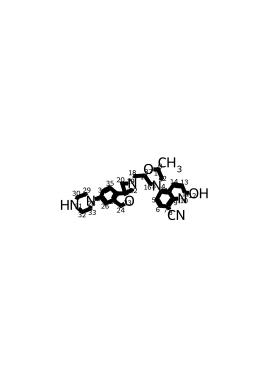 CC1CN(c2ccc(C#N)c3nc(O)ccc23)CC(CN2CC3(C2)OCc2cc(N4CCNCC4)ccc23)O1